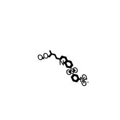 CC(CCc1ccc2ccc(S(=O)(=O)c3cccc([N+](=O)[O-])c3)cc2n1)COC=O